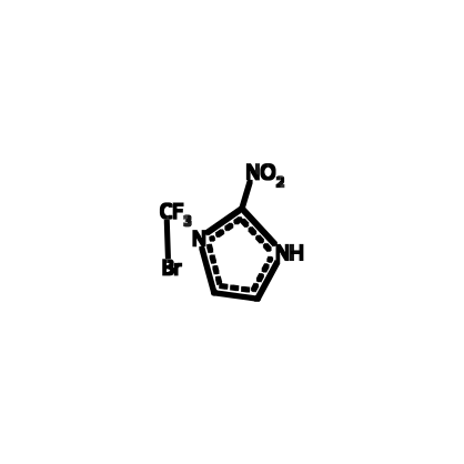 FC(F)(F)Br.O=[N+]([O-])c1ncc[nH]1